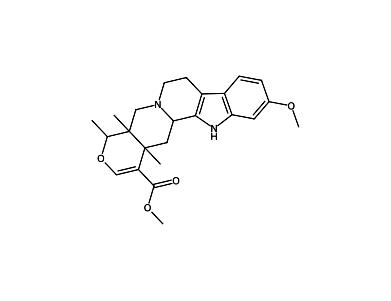 COC(=O)C1=COC(C)C2(C)CN3CCc4c([nH]c5cc(OC)ccc45)C3CC12C